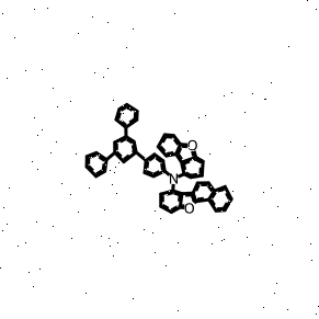 c1ccc(-c2cc(-c3ccccc3)cc(-c3ccc(N(c4cccc5oc6ccccc6c45)c4cccc5oc6c7ccccc7ccc6c45)cc3)c2)cc1